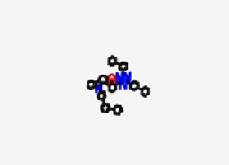 c1ccc(-c2ccc(-c3nc(-c4cccc(-c5ccccc5)c4)nc(-c4cccc5c4oc4ccc6c7ccccc7n(-c7ccc(-c8cccc(-c9ccccc9)c8)cc7)c6c45)n3)cc2)cc1